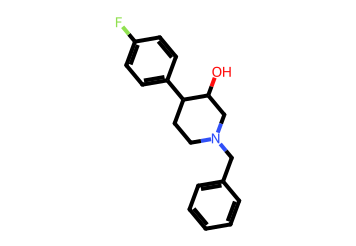 OC1CN(Cc2ccccc2)CCC1c1ccc(F)cc1